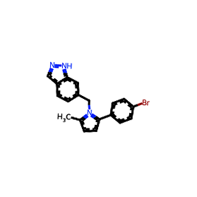 Cc1ccc(-c2ccc(Br)cc2)n1Cc1ccc2cn[nH]c2c1